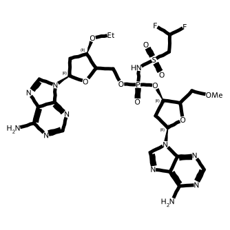 CCO[C@@H]1C[C@H](n2cnc3c(N)ncnc32)OC1COP(=O)(NS(=O)(=O)CC(F)F)O[C@@H]1C[C@H](n2cnc3c(N)ncnc32)OC1COC